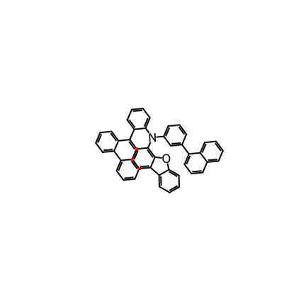 c1cc(-c2cccc3ccccc23)cc(N(c2ccccc2-c2cc3ccccc3c3ccccc23)c2cccc3c2oc2ccccc23)c1